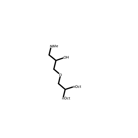 CCCCCCCCC(CCCCCCCC)COCC(O)CNC